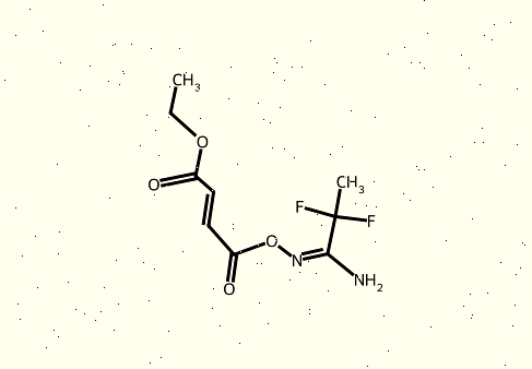 CCOC(=O)/C=C/C(=O)O/N=C(/N)C(C)(F)F